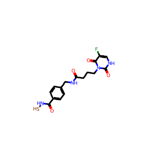 O=C(CCCn1c(=O)[nH]cc(F)c1=O)NCc1ccc(C(=O)NS)cc1